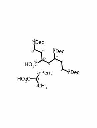 CCCCCC(C)C(=O)O.CCCCCCCCCCCCC(CCCCCCCCCC)CC(CCCCCCCCCCCC)C(=O)O